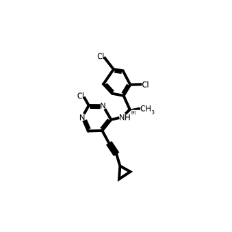 C[C@@H](Nc1nc(Cl)ncc1C#CC1CC1)c1ccc(Cl)cc1Cl